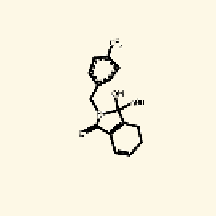 CCCCC1(O)C2=C(C=CCC2)C(=O)N1Cc1ccc(C(F)(F)F)cc1